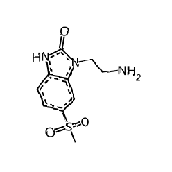 CS(=O)(=O)c1ccc2[nH]c(=O)n(CCN)c2c1